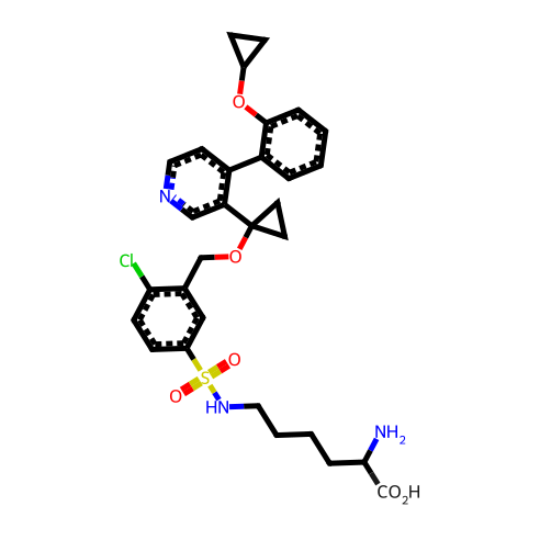 NC(CCCCNS(=O)(=O)c1ccc(Cl)c(COC2(c3cnccc3-c3ccccc3OC3CC3)CC2)c1)C(=O)O